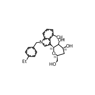 CCc1ccc(Cn2cc([C@@H]3O[C@H](CO)C[C@H](O)C3O)c3c(C)cccc32)cc1